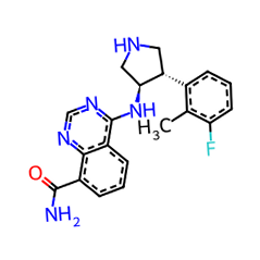 Cc1c(F)cccc1[C@H]1CNC[C@@H]1Nc1ncnc2c(C(N)=O)cccc12